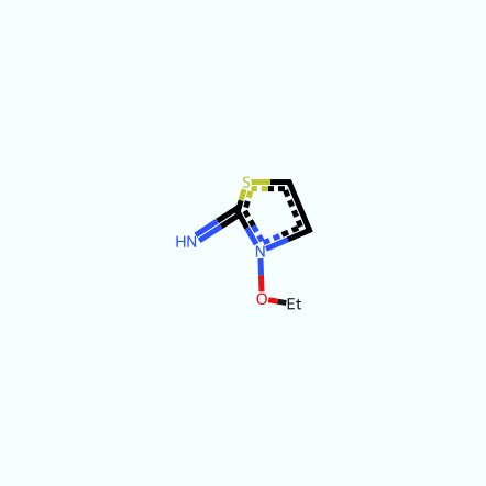 CCOn1ccsc1=N